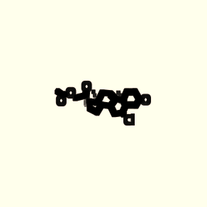 CC(=O)OCC(=O)[C@H]1CCC2C3CC(Cl)C4=CC(=O)C=C[C@]4(C)C3=CC[C@@]21C